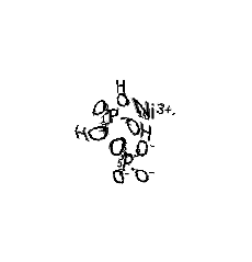 O=P(O)(O)O.O=P([O-])([O-])[O-].[Ni+3]